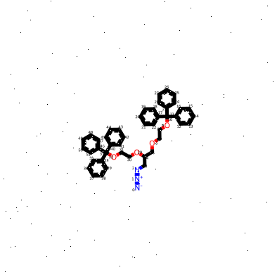 [N-]=[N+]=NCC(COCCOC(c1ccccc1)(c1ccccc1)c1ccccc1)OCCOC(c1ccccc1)(c1ccccc1)c1ccccc1